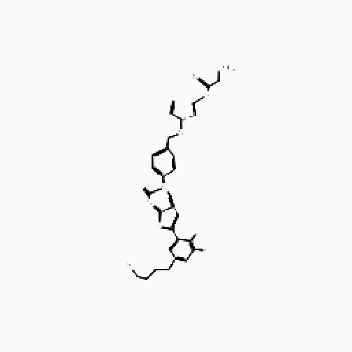 C=C[C@@H](CCNC(=N)CSC)NCc1ccc(-n2cc3cc(-c4cc(CCC[C@H](C)N)cc(Cl)c4F)[nH]c3nc2=O)cc1